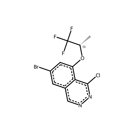 C[C@H](Oc1cc(Br)cc2cnnc(Cl)c12)C(F)(F)F